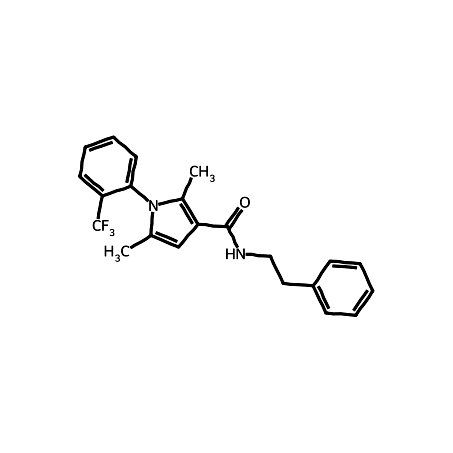 Cc1cc(C(=O)NCCc2ccccc2)c(C)n1-c1ccccc1C(F)(F)F